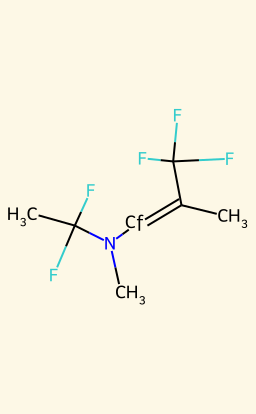 C[C](=[Cf][N](C)C(C)(F)F)C(F)(F)F